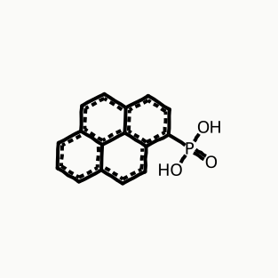 O=P(O)(O)c1ccc2ccc3cccc4ccc1c2c34